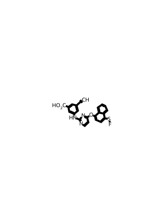 C#Cc1cc(Nc2nccc(Oc3ccc(SF)c4ccccc34)n2)cc(C(=O)O)c1